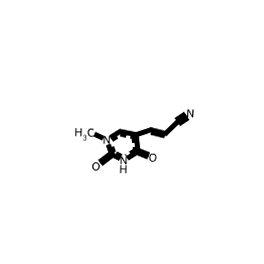 Cn1cc(/C=C/C#N)c(=O)[nH]c1=O